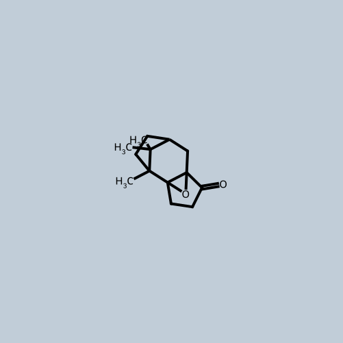 CC1(C)C2CCC1(C)C13CCC(=O)C1(C2)O3